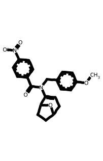 COc1ccc(CN(C(=O)c2ccc([N+](=O)[O-])cc2)C2=CCC3CCC2O3)cc1